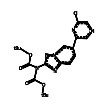 CC(C)(C)OC(=O)N(C(=O)OC(C)(C)C)c1nc2ccc(-c3cncc(Cl)n3)cn2n1